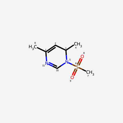 CC1=CC(C)N(S(C)(=O)=O)C=N1